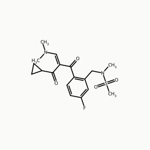 CN(C)C=C(C(=O)c1ccc(F)cc1CN(C)S(C)(=O)=O)C(=O)C1CC1